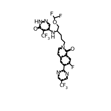 O=c1[nH]ncc(NC(CCCn2ccc3cc(-c4ncc(C(F)(F)F)cn4)c(F)cc3c2=O)COC(F)F)c1C(F)(F)F